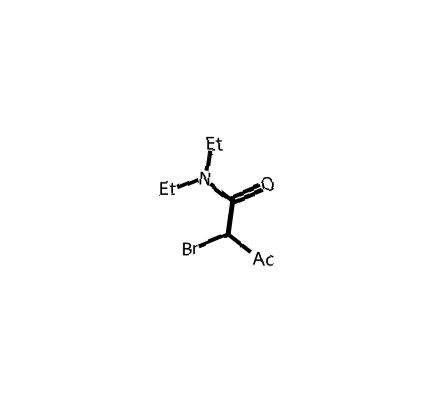 CCN(CC)C(=O)C(Br)C(C)=O